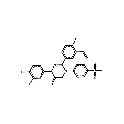 C=Cc1cc(C2=NC(c3ccc(F)c(F)c3)C(=O)CN2c2ccc(S(C)(=O)=O)cc2)ccc1F